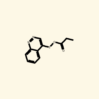 CCC(=O)OSc1cnnc2ccccc12